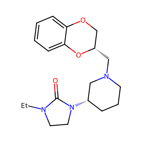 CCN1CCN([C@H]2CCCN(C[C@H]3COc4ccccc4O3)C2)C1=O